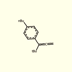 C=C=C(c1ccc(CCCC)cc1)C(C)(C)C